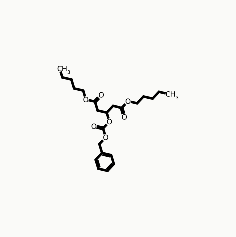 CCCCCOC(=O)CC(CC(=O)OCCCCC)OC(=O)OCc1ccccc1